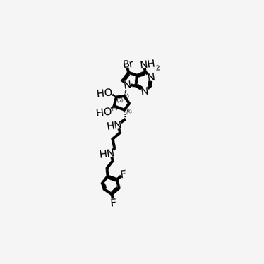 Nc1ncnc2c1c(Br)cn2[C@@H]1C[C@H](CNCCCNCCc2ccc(F)cc2F)[C@@H](O)[C@H]1O